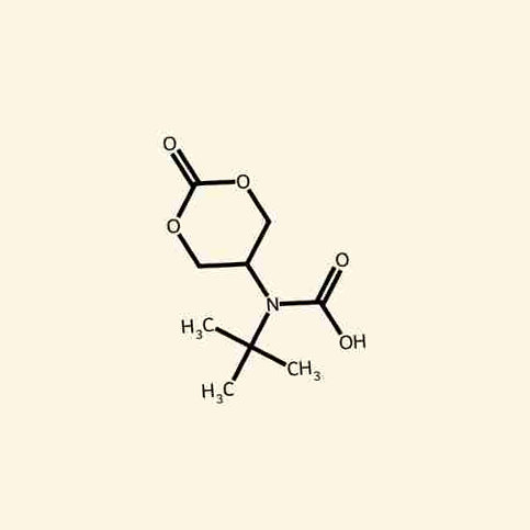 CC(C)(C)N(C(=O)O)C1COC(=O)OC1